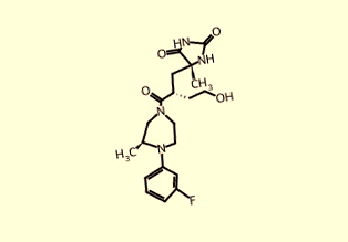 C[C@H]1CN(C(=O)[C@@H](CCO)C[C@@]2(C)NC(=O)NC2=O)CCN1c1cccc(F)c1